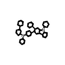 c1ccc(-c2cccc(N(c3ccccc3)c3ccc(-c4cc5c6ccccc6n(-c6ccccc6)c5cc4-c4ccccc4)cc3)c2)cc1